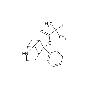 CC(C)(I)C(=O)OC1(c2ccccc2)C2CC3CC1CC(C2)N3